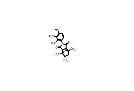 C[C@H]1CC2(C)OC1(C)C1C(=O)N(c3ccc(C#N)c(C(F)(F)F)c3P)C(=O)C12